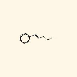 O=[N+]([O-])CC/C=C/c1ccccc1